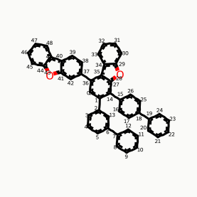 [c]1c(-c2cccc(-c3ccccc3)c2)c(-c2ccc(-c3ccccc3)cc2)c2oc3ccccc3c2c1-c1ccc2c(c1)oc1ccccc12